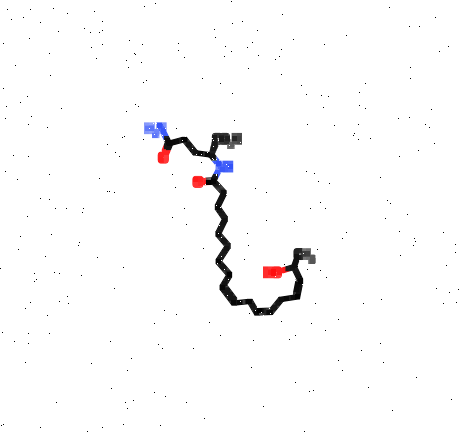 CC(O)/C=C\C/C=C\C/C=C\CCCCCCCC(=O)N[C@@H](CCC(N)=O)C(=O)O